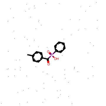 Cc1ccc(C(=O)P(=O)(O)c2ccccc2)cc1